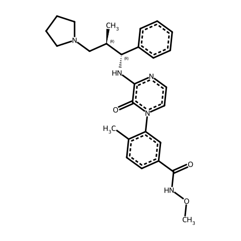 CONC(=O)c1ccc(C)c(-n2ccnc(N[C@@H](c3ccccc3)[C@H](C)CN3CCCC3)c2=O)c1